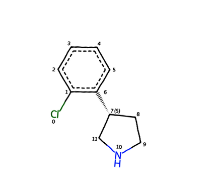 Clc1ccccc1[C@@H]1CCNC1